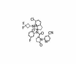 N#Cc1ccnc(N2C(=O)CC[C@H]2C(=O)N(c2cccc(F)c2)[C@]2(C(=O)NC3CC(F)(F)C3)CCc3ccc(Cl)cc32)c1